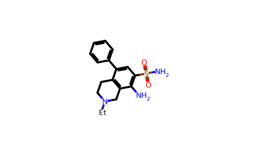 CCN1CCc2c(-c3ccccc3)cc(S(N)(=O)=O)c(N)c2C1